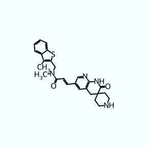 Cc1c(CN(C)C(=O)/C=C/c2cnc3c(c2)CC2(CCNCC2)C(=O)N3)sc2ccccc12